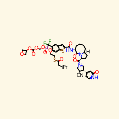 CC(C)CC(=O)SCCOP(=O)(OCOC(=O)OC1COC1)C(F)(F)c1ccc2sc(C(=O)N[C@H]3CCCC[C@H]4CC[C@@H](C(=O)N5C[C@H](c6cc[nH]c(=O)c6)[C@@H](C#N)C5)N4C3=O)cc2c1